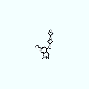 Cn1ncc2c(OC3CN(C4COC4)C3)cc(Cl)nc21